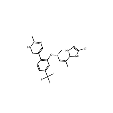 CC1=NC=C(c2ccc(C(F)(F)F)cc2ON(C)/C=C(/C)C2NN=C(Cl)N2)CN1